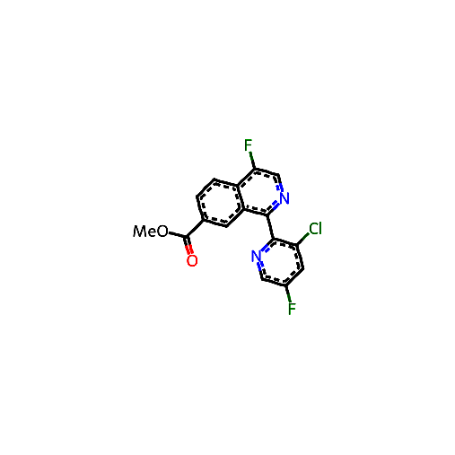 COC(=O)c1ccc2c(F)cnc(-c3ncc(F)cc3Cl)c2c1